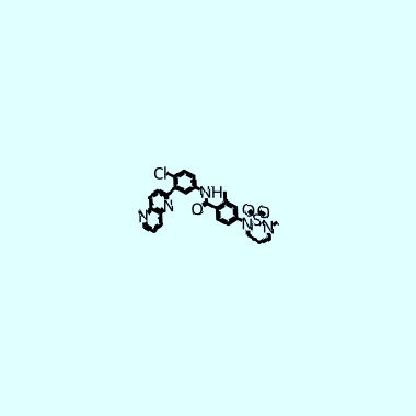 Cc1cc(N2CCCN(C)S2(=O)=O)ccc1C(=O)Nc1ccc(Cl)c(-c2ccc3ncccc3n2)c1